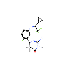 CN1C(=O)C(C)(C)[C@@](C)(c2cc(NC(C3CC3)C(F)(F)F)ccc2F)N=C1N